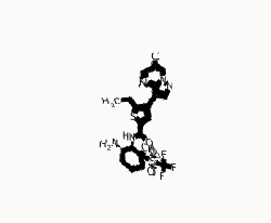 CCc1sc(C(=O)N[C@@H]2[C@@H](N)CCCC2(C)S(=O)(=O)C(F)(F)F)cc1-c1cnn2cc(Cl)cnc12